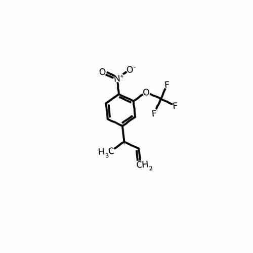 C=C[C](C)c1ccc([N+](=O)[O-])c(OC(F)(F)F)c1